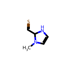 CN1C=CNC1C=S